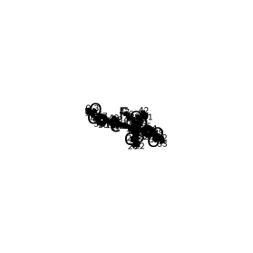 C=CC(=O)Oc1ccc(-c2ccc(C#Cc3cc(OC(=O)C(=C)C)c(-c4ccc(OC(=O)C=C)cc4)c(OC(=O)C(=C)C)c3CCCF)cc2)cc1